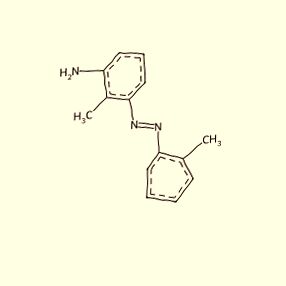 Cc1ccccc1N=Nc1cccc(N)c1C